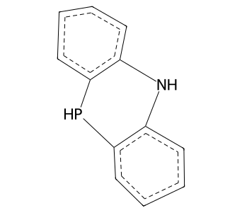 c1ccc2c(c1)Nc1ccccc1P2